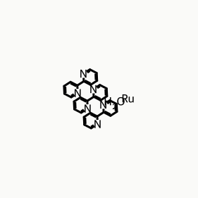 O.[Ru].c1ccc(-c2ccccn2)nc1.c1ccc(-c2ccccn2)nc1.c1ccc(-c2ccccn2)nc1